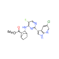 COC(=O)C1C2CCC(C2)C1Nc1nc(-c2c[nH]c3ncc(Cl)cc23)ncc1F